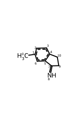 Cc1ccc2c(c1)C(=N)CC2